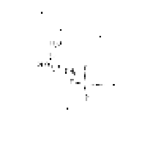 O.O.O.O.O.[F][Ti]([F])([F])[F]